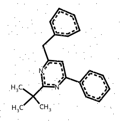 CC(C)(C)c1nc(Cc2ccccc2)cc(-c2ccccc2)n1